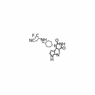 N#CC[C@@H](NC[C@H]1CC[C@H](n2c(=O)[nH]c(=O)c3cnc4[nH]ccc4c32)CC1)C(F)(F)F